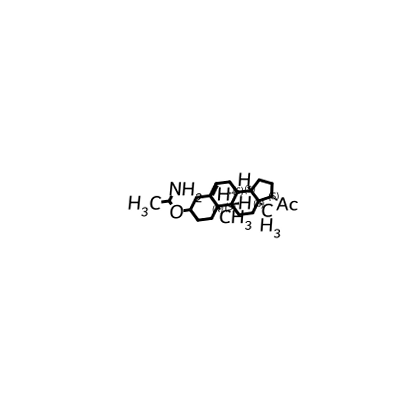 CC(=O)[C@H]1CC[C@H]2[C@@H]3CC=C4CC(OC(C)N)CC[C@]4(C)[C@H]3CC[C@]12C